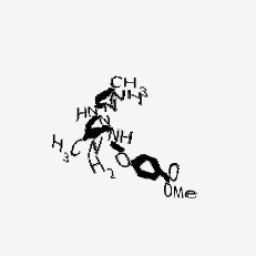 COC(=O)c1ccc(OCCNc2nc(Nc3cc(C)[nH]n3)cc(C)c2N)cc1